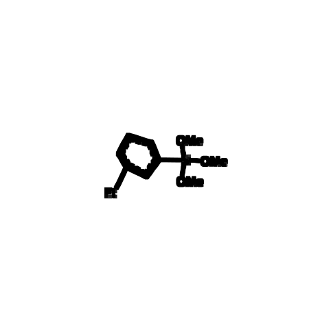 CCc1cccc([Si](OC)(OC)OC)c1